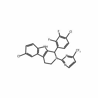 Fc1c(Cl)ccc(C2c3[nH]c4ccc(Cl)cc4c3CCN2c2nccc(C(F)(F)F)n2)c1F